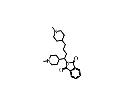 CN1CCC(CCCC(C2CCN(C)CC2)N2C(=O)c3ccccc3C2=O)CC1